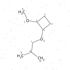 COC1CCC1OCC(C)C